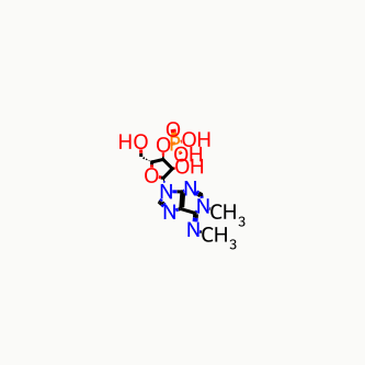 CN=c1c2ncn([C@@H]3O[C@H](CO)[C@@H](OP(=O)(O)O)[C@H]3O)c2ncn1C